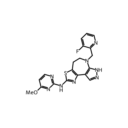 COc1ccnc(Nc2nc3c(s2)CCN(Cc2ncccc2F)c2[nH]ncc2-3)n1